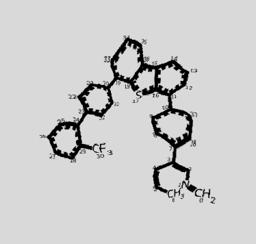 C=N/C=C(\C=C/C)c1ccc(-c2cccc3c2sc2c(-c4ccc(-c5ccccc5C(F)(F)F)cc4)cccc23)cc1